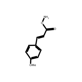 COc1ccc(/C=C/C(=O)ON)cc1